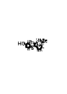 COC1C(C(C)C)=C(Sc2ccc(O)cc2)C2=CC=CC(=C=O)N21